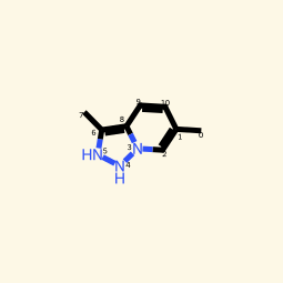 CC1=CN2NNC(C)=C2C=C1